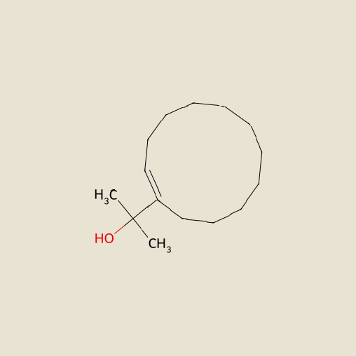 CC(C)(O)C1=CCCCCCCCCCC1